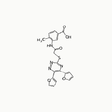 Cc1ccc(C(=O)O)cc1NC(=O)CSc1nnc(-c2ccco2)c(-c2ccco2)n1